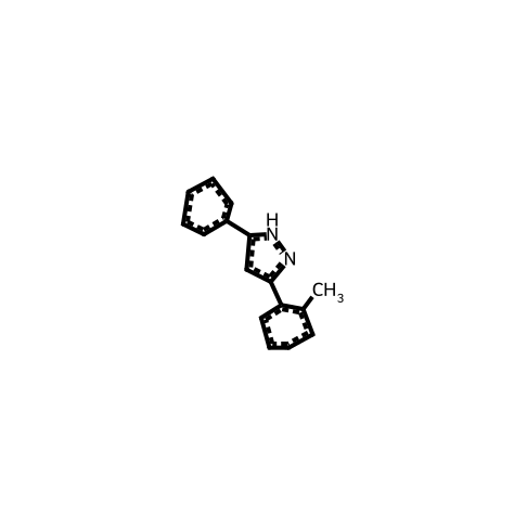 Cc1ccccc1-c1cc(-c2ccccc2)[nH]n1